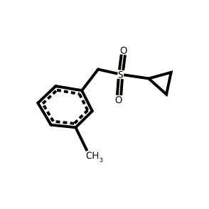 Cc1cccc(CS(=O)(=O)C2CC2)c1